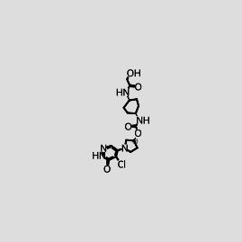 O=C(CO)N[C@H]1CC[C@H](NC(=O)O[C@@H]2CCN(c3cn[nH]c(=O)c3Cl)C2)CC1